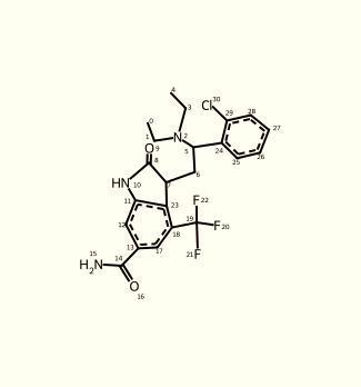 CCN(CC)C(CC1C(=O)Nc2cc(C(N)=O)cc(C(F)(F)F)c21)c1ccccc1Cl